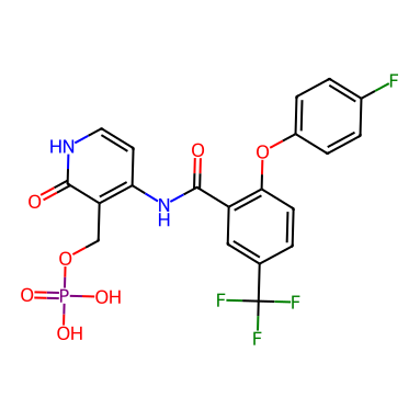 O=C(Nc1cc[nH]c(=O)c1COP(=O)(O)O)c1cc(C(F)(F)F)ccc1Oc1ccc(F)cc1